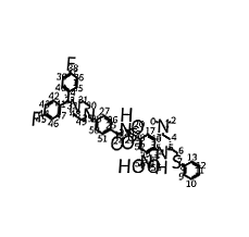 CN(C)CC[C@H](CSc1ccccc1)Nc1ccc(S(=O)(=O)NC(=O)c2ccc(N3CCN(C(c4ccc(F)cc4)c4ccc(F)cc4)CC3)cc2)cc1[N+](=O)O